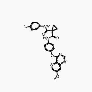 COc1cnc2c(Oc3ccc(NC(=O)C4(C(=O)Nc5ccc(F)cc5)CC4)cc3)ncnc2c1